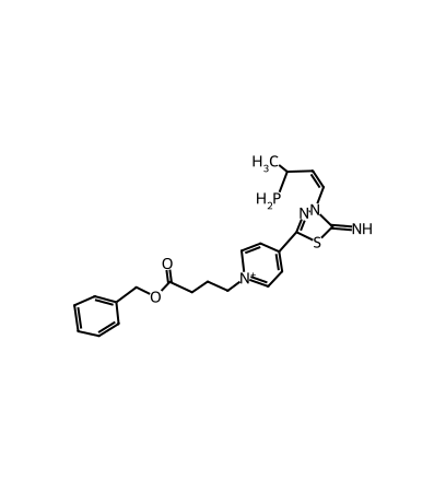 CC(P)/C=C\n1nc(-c2cc[n+](CCCC(=O)OCc3ccccc3)cc2)sc1=N